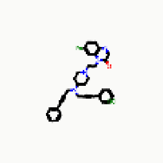 Cl.O=c1cnc2ccc(F)cc2n1CCN1CCC(N(CC#Cc2ccccc2)CC#Cc2ccccc2)CC1